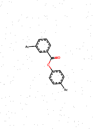 CC(=O)c1ccc(OC(=O)c2cccc(C(C)=O)c2)cc1